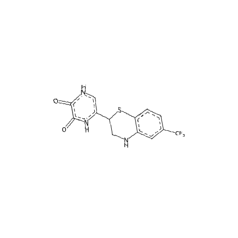 O=c1[nH]cc(C2CNc3cc(C(F)(F)F)ccc3S2)[nH]c1=O